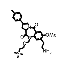 COc1cc2c(cc1CCN)N(COCC[Si](C)(C)C)C(=O)C1CC(c3ccc(C)cc3)=CN1C2=O